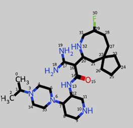 CC(C)N1CCN(C2CCNCC2NC(=O)C(C(N)N)C2CC3(CCCC3)CCC(F)CN2)CC1